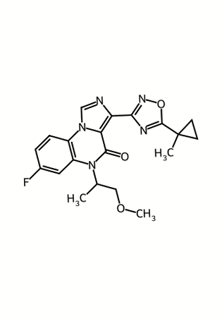 COCC(C)n1c(=O)c2c(-c3noc(C4(C)CC4)n3)ncn2c2ccc(F)cc21